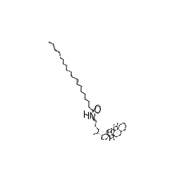 CCCCCCCCCCCCCCCCCCCC(=O)NCCCC(C)[C@H]1CC[C@H]2[C@@H]3CCC4CCCC[C@]4(C)[C@H]3CC[C@]12C